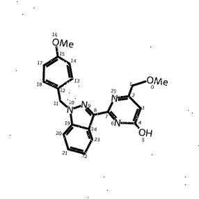 COCc1cc(O)nc(-c2nn(Cc3ccc(OC)cc3)c3ccccc23)n1